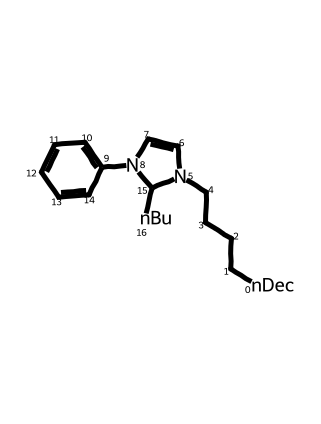 CCCCCCCCCCCCCCN1C=CN(c2ccccc2)C1CCCC